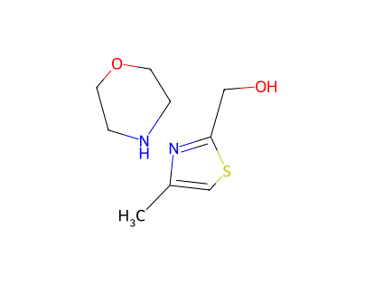 C1COCCN1.Cc1csc(CO)n1